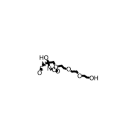 O=C=NC(O)(COCCOCCOCCO)N=C=O